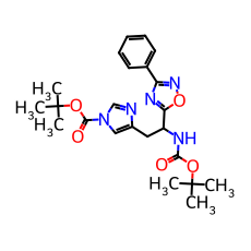 CC(C)(C)OC(=O)NC(Cc1cn(C(=O)OC(C)(C)C)cn1)c1nc(-c2ccccc2)no1